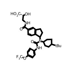 CC(C)(C)C1CCC(N(C(=O)Nc2ccc(OC(F)(F)F)cc2)C2CCc3cc(C(=O)NC[C@@H](O)C(=O)O)ccc32)CC1